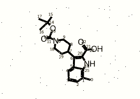 Cc1cccc2c(C3CCN(C(=O)OC(C)(C)C)CC3)c(C(=O)O)[nH]c12